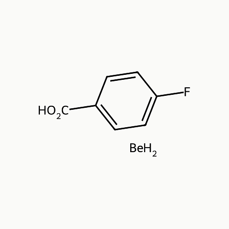 O=C(O)c1ccc(F)cc1.[BeH2]